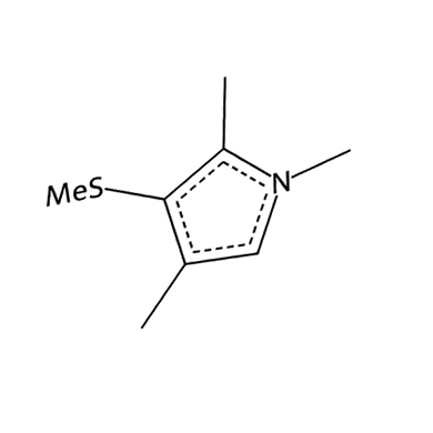 CSc1c(C)cn(C)c1C